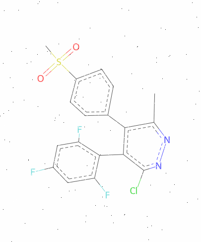 Cc1nnc(Cl)c(-c2c(F)cc(F)cc2F)c1-c1ccc(S(C)(=O)=O)cc1